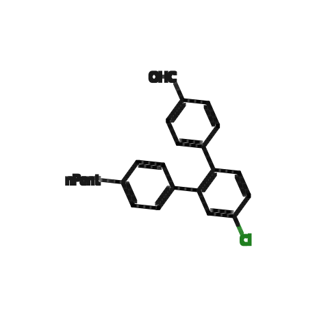 CCCCCc1ccc(-c2cc(Cl)ccc2-c2ccc(C=O)cc2)cc1